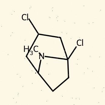 CN1[C]2CCC1(Cl)CC(Cl)C2